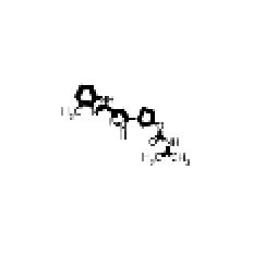 Cc1cccc2[nH]c(-c3cc([C@H]4CC[C@@H](OC(=O)NC(C)C)C4)[nH]n3)nc12